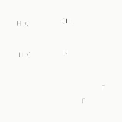 CC(C)C(C)N1CCC(F)(F)CC1